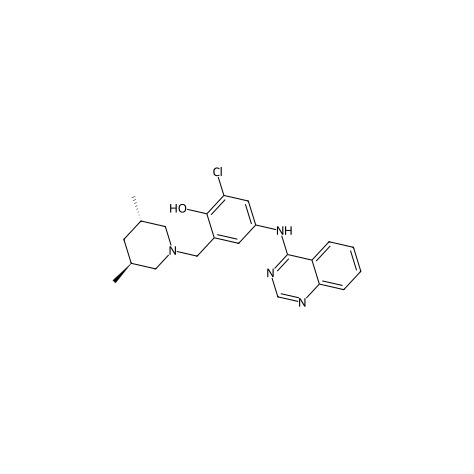 C[C@H]1C[C@H](C)CN(Cc2cc(Nc3ncnc4ccccc34)cc(Cl)c2O)C1